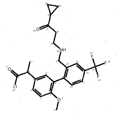 COc1ccc(C(C)C(=O)Cl)cc1-c1ccc(C(F)(F)F)cc1CNCCC(=O)C1CC1